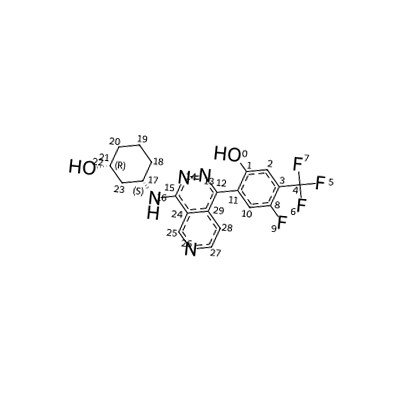 Oc1cc(C(F)(F)F)c(F)cc1-c1nnc(N[C@H]2CCC[C@@H](O)C2)c2cnccc12